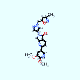 COc1cc(-c2ccc3c(n2)CN(c2cnn(Cc4cc(C)no4)c2)C3=O)cnc1OC